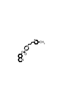 Cc1ccc(CCCN2CCN(C(=O)Oc3ccc4cccnc4c3)CC2)nc1